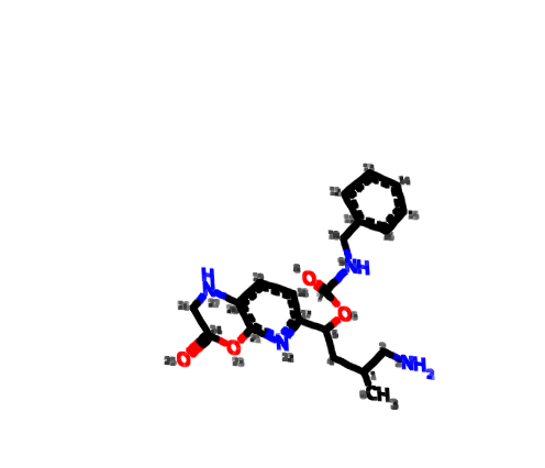 CC(CN)CC(OC(=O)NCc1ccccc1)c1ccc2c(n1)OC(=O)CN2